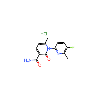 Cc1nc(-n2c(C)ccc(C(N)=O)c2=O)ccc1F.Cl